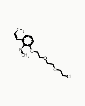 C=Nc1c(/C=C\C)cccc1OCCOCCOCCCl